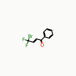 O=C(C=CC(F)(F)Br)c1cc[c]cc1